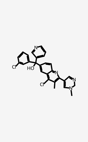 Cc1c(C2=CN(C)CN=C2)nc2ccc(C(O)(c3cccnc3)c3cccc(Cl)c3)cc2c1Cl